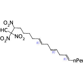 CCCCC/C=C/C/C=C/C/C=C/CCCCC([N+](=O)[O-])C([C]=O)([N+](=O)[O-])[N+](=O)[O-]